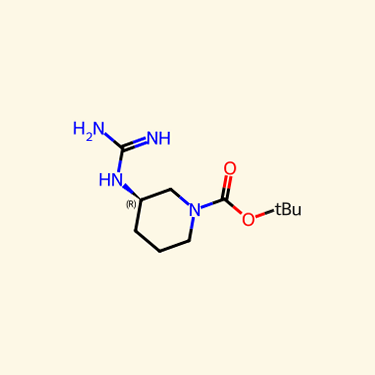 CC(C)(C)OC(=O)N1CCC[C@@H](NC(=N)N)C1